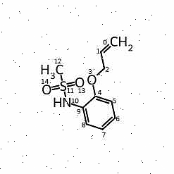 C=CCOc1ccccc1NS(C)(=O)=O